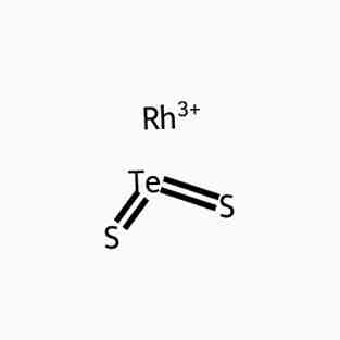 S=[Te]=S.[Rh+3]